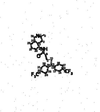 Cc1cc2c(NC(=O)C=CC=C(c3ccc(C(F)(F)F)cc3)c3ccc(C(F)(F)F)cc3)cccc2cn1